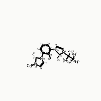 [2H]C([2H])([2H])C([2H])([2H])N1C=CN(c2cccc(N3C=C[N]([Cd])[C@@H]3C)c2C)[C@@H]1C